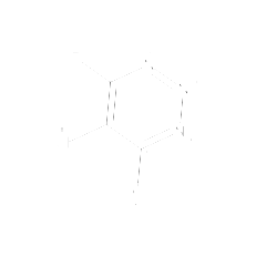 Fc1nnnc(Cl)c1Cl